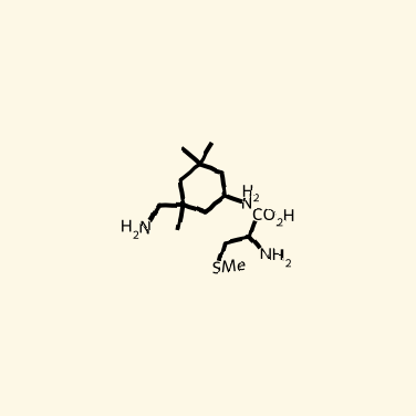 CC1(C)CC(N)CC(C)(CN)C1.CSCC(N)C(=O)O